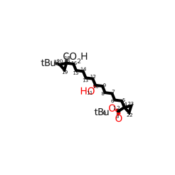 CC(C)(C)OC(=O)C1(CCCCCC(O)CCCCCC2(C(=O)O)CC2C(C)(C)C)CC1